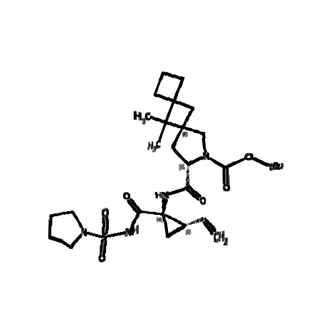 C=C[C@@H]1C[C@]1(NC(=O)[C@@H]1C[C@]2(CN1C(=O)OC(C)(C)C)CC1(CCC1)C2(C)C)C(=O)NS(=O)(=O)N1CCCC1